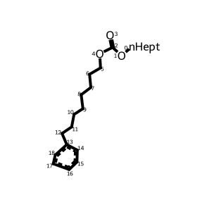 CCCCCCCOC(=O)OCCCCCCCCc1ccccc1